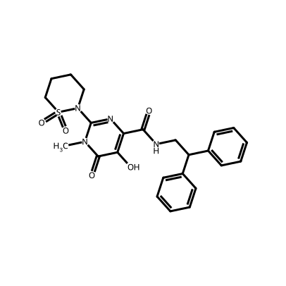 Cn1c(N2CCCCS2(=O)=O)nc(C(=O)NCC(c2ccccc2)c2ccccc2)c(O)c1=O